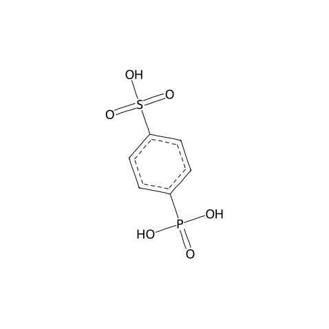 O=P(O)(O)c1ccc(S(=O)(=O)O)cc1